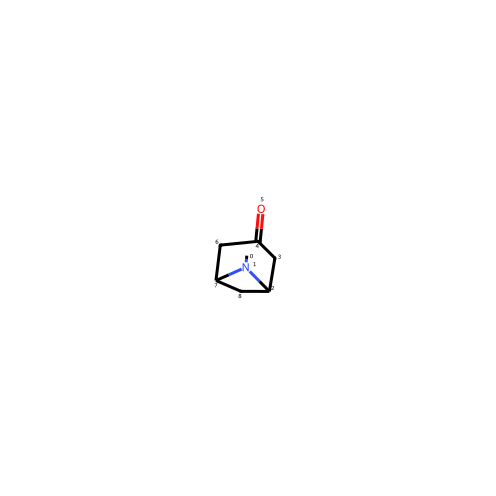 CN1C2CC(=O)CC1C2